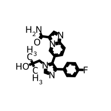 CC(C)(O)Cn1cnc(-c2ccc(F)cc2)c1-c1ccc2ncc(C(N)=O)n2c1